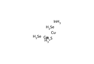 S.[Cu].[GaH3].[InH3].[SeH2].[SeH2]